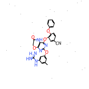 Cc1cc(NC(=N)N)cc(Oc2nc3c(c(Oc4cc(C#N)ccc4Oc4ccccc4)n2)NC(=O)CO3)c1